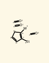 C=O.C=O.C=O.CCC1=[C]([W])CC=C1